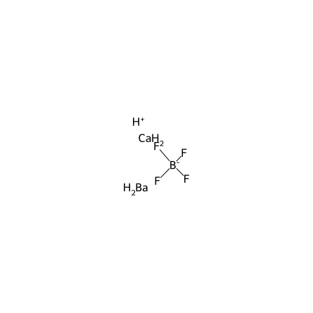 F[B-](F)(F)F.[BaH2].[CaH2].[H+]